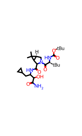 CC(C)(C)OC(=O)N[C@H](C(=O)N1C[C@H]2C(C1C(=O)NC(CC1CC1)C(O)C(N)=O)C2(C)C)C(C)(C)C